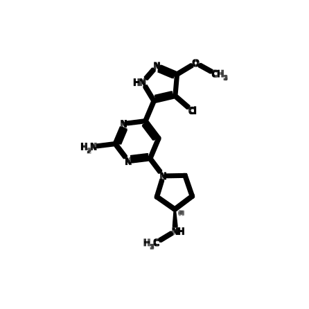 CN[C@@H]1CCN(c2cc(-c3[nH]nc(OC)c3Cl)nc(N)n2)C1